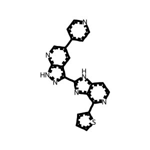 c1csc(-c2nccc3[nH]c(-c4n[nH]c5ncc(-c6ccncc6)cc45)nc23)c1